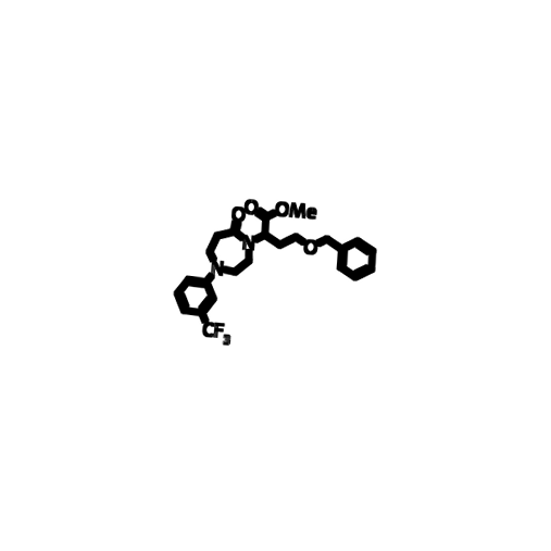 COC(=O)C(CCOCc1ccccc1)N1CCN(c2cccc(C(F)(F)F)c2)CCC1=O